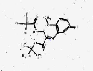 COc1ccc(Cl)cc1/C=C(\CNC(=O)C(F)(F)F)C(=O)OC(C)(C)C